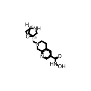 O=C(NO)c1cnc2c(c1)CCN(C[C@]13CN[C@H](CO1)C3)C2